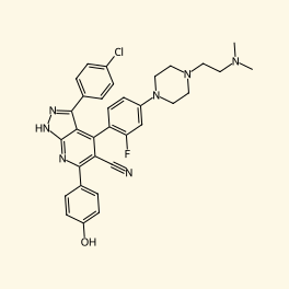 CN(C)CCN1CCN(c2ccc(-c3c(C#N)c(-c4ccc(O)cc4)nc4[nH]nc(-c5ccc(Cl)cc5)c34)c(F)c2)CC1